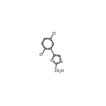 CCOC(=O)c1ncc(-c2cc(Cl)ccc2Cl)o1